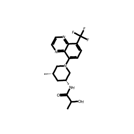 CC(O)C(=O)N[C@@H]1C[C@H](C)CN(c2ccc(C(F)(F)F)c3nccnc23)C1